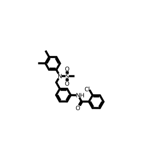 Cc1ccc(N(Cc2cccc(NC(=O)c3ccccc3Cl)c2)S(C)(=O)=O)cc1C